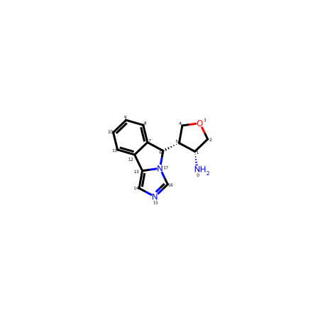 N[C@H]1COC[C@H]1C1c2ccccc2-c2cncn21